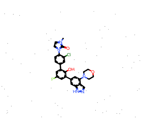 Cn1ccn(-c2ccc(-c3cc(F)cc(-c4cc(N5CCOCC5)c5cn[nH]c5c4)c3O)cc2Cl)c1=O